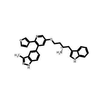 Cc1n[nH]c2ccc(-c3cc(OCC[C@@H](N)Cc4c[nH]c5ccccc45)cnc3-c3ccoc3)cc12